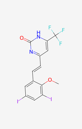 COc1c(I)cc(I)cc1C=Cc1cc(C(F)(F)F)[nH]c(=O)n1